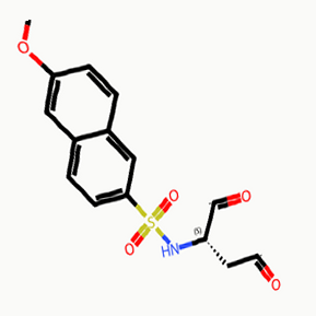 COc1ccc2cc(S(=O)(=O)N[C@H]([C]=O)C[C]=O)ccc2c1